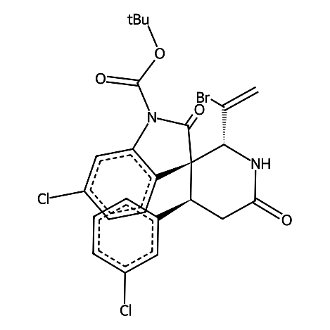 C=C(Br)[C@@H]1NC(=O)C[C@@H](c2cccc(Cl)c2)[C@]12C(=O)N(C(=O)OC(C)(C)C)c1cc(Cl)ccc12